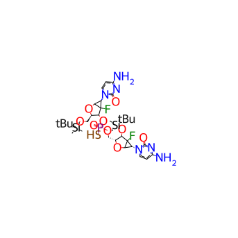 CC(C)(C)[Si](C)(C)OC[C@H]1OC2[C@@H](n3ccc(N)nc3=O)C2(F)C1OP(=O)(S)OC[C@H]1OC2[C@@H](n3ccc(N)nc3=O)C2(F)C1O[Si](C)(C)C(C)(C)C